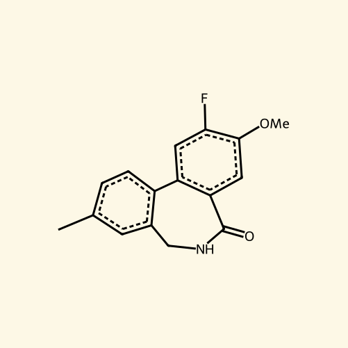 COc1cc2c(cc1F)-c1ccc(C)cc1CNC2=O